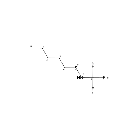 CCCCCSNC(F)(F)F